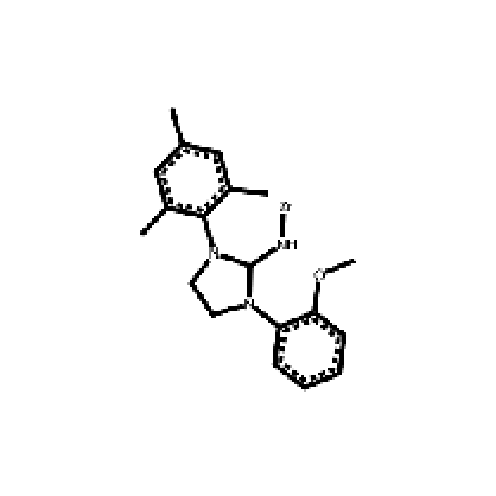 COc1ccccc1N1CCN(c2c(C)cc(C)cc2C)C1[NH][Zr]